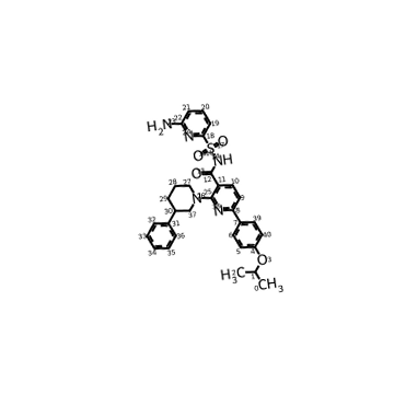 CC(C)Oc1ccc(-c2ccc(C(=O)NS(=O)(=O)c3cccc(N)n3)c(N3CCCC(c4ccccc4)C3)n2)cc1